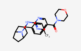 O=C(c1cnc(NC2CC3CCC(C2)N3Cc2ccccc2)nc1C(F)(F)F)N1CCOCC1